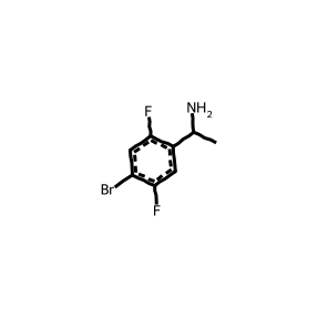 CC(N)c1cc(F)c(Br)cc1F